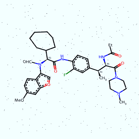 CCC(=O)N[C@@H](C(=O)N1CCN(C)CC1)[C@@H](C)c1ccc(NC(=O)[C@H](C2CCCCCC2)N(C=O)c2coc3cc(OC)ccc23)c(F)c1